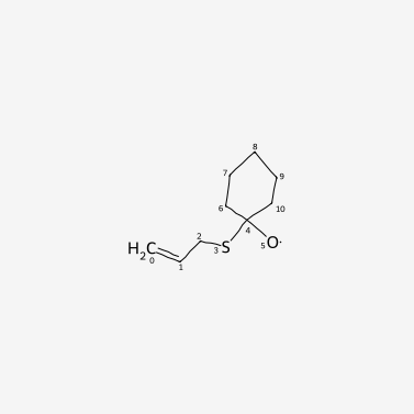 C=CCSC1([O])CCCCC1